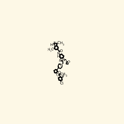 Cc1n[nH]c2c(C)cc(C(=O)Nc3ccc4c(c3)nc(CN3CC=C(c5cccc6c5O[C@](C)(c5ccc(Cl)cc5F)O6)CC3)n4C[C@@H]3CCO3)cc12